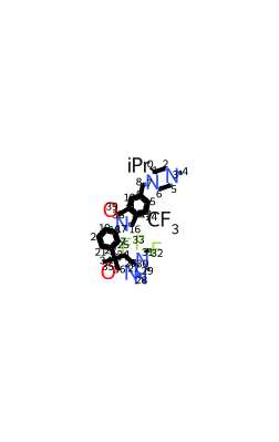 CC(C)[C@H]1CN(C)CCN1Cc1cc2c(c(C(F)(F)F)c1)CN(c1cccc(C3([C@H](F)c4nncn4C(F)F)COC3)c1)C2=O